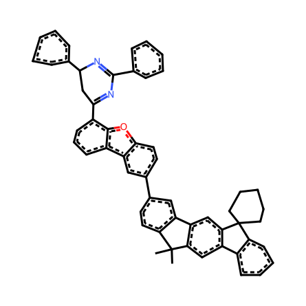 CC1(C)c2ccc(-c3ccc4oc5c(C6=NC(c7ccccc7)=NC(c7ccccc7)C6)cccc5c4c3)cc2-c2cc3c(cc21)-c1ccccc1C31CCCCC1